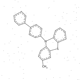 Cc1ccc2c(c1)Sc1ccccc1N2c1ccc(-c2ccccc2)cc1